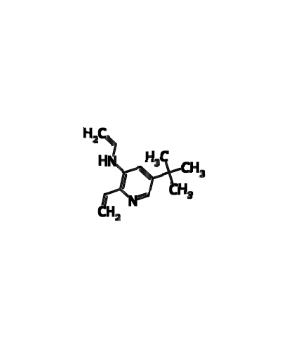 C=CNc1cc(C(C)(C)C)cnc1C=C